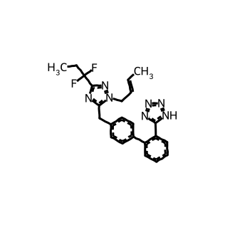 C/C=C/Cn1nc(C(F)(F)CC)nc1Cc1ccc(-c2ccccc2-c2nnn[nH]2)cc1